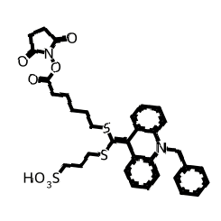 O=C(CCCCCSC(SCCCS(=O)(=O)O)=C1c2ccccc2N(Cc2ccccc2)c2ccccc21)ON1C(=O)CCC1=O